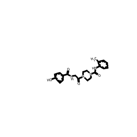 Cc1ccccc1NC(=O)N1CCN(C(=O)CNC(=O)c2ccc(O)cc2)CC1